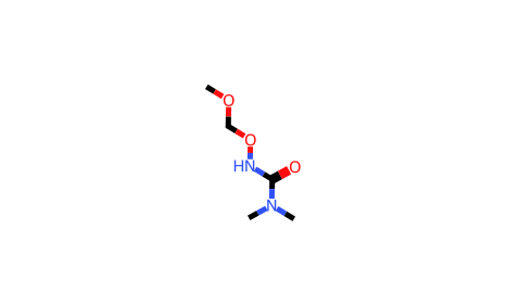 COCONC(=O)N(C)C